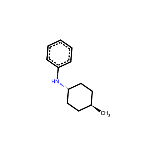 C[C@H]1CC[C@H](Nc2ccccc2)CC1